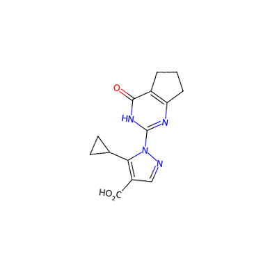 O=C(O)c1cnn(-c2nc3c(c(=O)[nH]2)CCC3)c1C1CC1